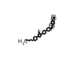 CCCCCC1CCC(c2ccc(C3CCC(C4CCC(C(F)(F)Oc5ccc(OC(F)(F)F)cc5)CC4)CC3)c(F)c2)CC1